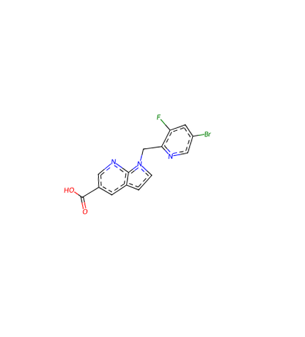 O=C(O)c1cnc2c(ccn2Cc2ncc(Br)cc2F)c1